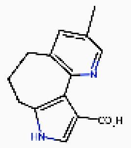 Cc1cnc2c(c1)CCCc1[nH]cc(C(=O)O)c1-2